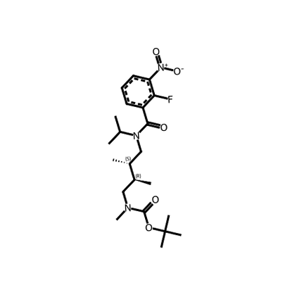 CC(C)N(C[C@@H](C)[C@@H](C)CN(C)C(=O)OC(C)(C)C)C(=O)c1cccc([N+](=O)[O-])c1F